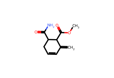 C=C1C=CCC(C(N)=O)C1C(=O)OC